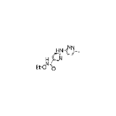 CCONC(=O)c1ccc(Nc2ccc(C)nn2)nc1